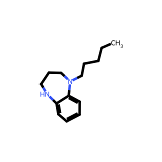 CCCCCN1CC[CH]Nc2ccccc21